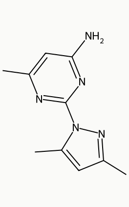 Cc1cc(N)nc(-n2nc(C)cc2C)n1